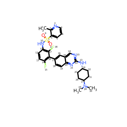 Cc1ncccc1S(=O)(=O)Nc1ccc(F)c(-c2ccc3nc(N[C@H]4CC[C@H](N(C)C)CC4)ncc3c2)c1F